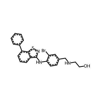 OCCNCc1ccc(Nc2nsc3c(-c4ccccc4)cccc23)c(Br)c1